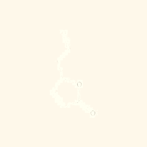 C=CCC1C=CC(=O)O1